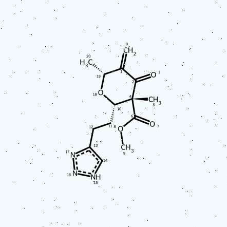 C=C1C(=O)[C@](C)(C(=O)OC)[C@H](CCc2c[nH]nn2)O[C@@H]1C